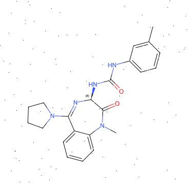 Cc1cccc(NC(=O)N[C@@H]2N=C(N3CCCC3)c3ccccc3N(C)C2=O)c1